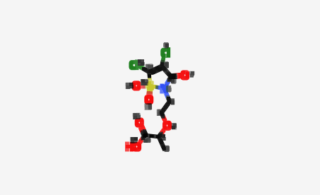 CC(OCCN1C(=O)C(Cl)=C(Cl)S1(=O)=O)C(=O)O